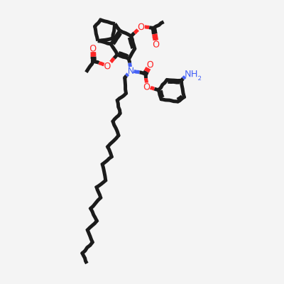 CCCCCCCCCCCCCCCCCCN(C(=O)Oc1cccc(N)c1)c1cc(OC(C)=O)c2c(c1OC(C)=O)C1CCC2C1